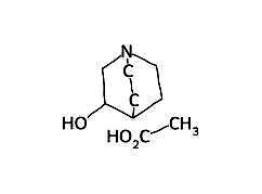 CC(=O)O.OC1CN2CCC1CC2